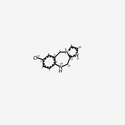 Clc1ccc2c(c1)Cn1ccnc1CN2